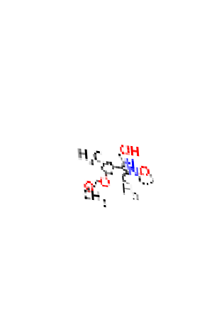 COCCOc1cc(C)cc(-c2c(CO)nn(C3CCCCO3)c2C)c1